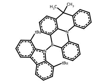 CC(C)(C)c1cccc2c3cccc(C(C)(C)C)c3n(B3c4ccccc4N4c5ccccc5C(C)(C)c5cccc3c54)c12